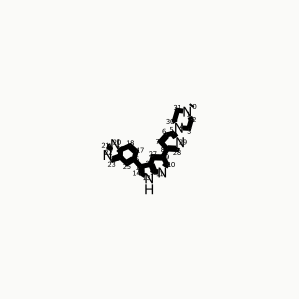 CN1CCN(c2ccc(-c3cnc4[nH]cc(-c5ccc6ncncc6c5)c4c3)cn2)CC1